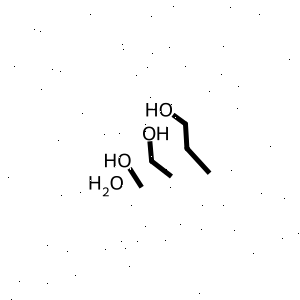 CCCO.CCO.CO.O